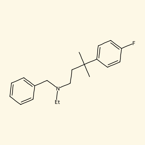 CCN(CCC(C)(C)c1ccc(F)cc1)Cc1ccccc1